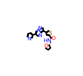 O=C(NC[C@@H]1CCCO1)c1cc(-c2cnn3cc(-c4cccnc4)cnc23)cs1